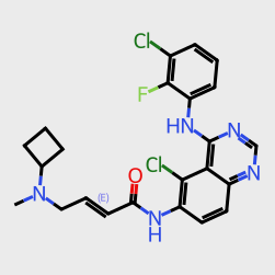 CN(C/C=C/C(=O)Nc1ccc2ncnc(Nc3cccc(Cl)c3F)c2c1Cl)C1CCC1